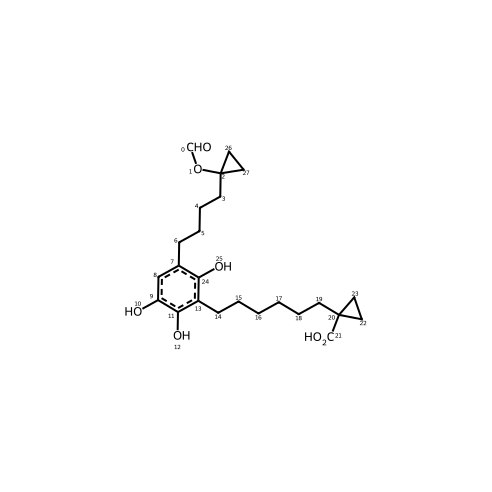 O=COC1(CCCCc2cc(O)c(O)c(CCCCCCC3(C(=O)O)CC3)c2O)CC1